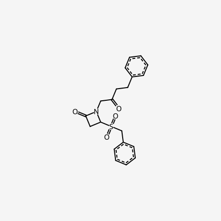 O=C(CCc1ccccc1)CN1C(=O)CC1S(=O)(=O)Cc1ccccc1